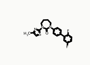 Cc1csc(N2CCCCN(c3ccc(-c4cc(F)ccc4F)cc3)C2=O)n1